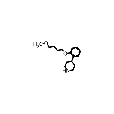 COCCCCOc1ccccc1C1CCNCC1